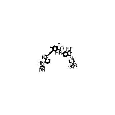 Cc1cc(F)c(C(=O)Nc2ccc(CN3CCN(S(C)(=O)=O)CC3)c(C(F)(F)F)c2)cc1C#Cc1cnc2c(Nc3cnn(C)c3)cccn12